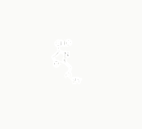 CC(C)OCc1nc(C=O)co1